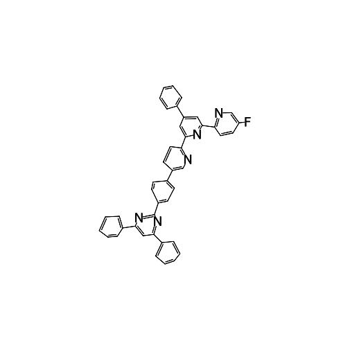 Fc1ccc(-c2cc(-c3ccccc3)cc(-c3ccc(-c4ccc(-c5nc(-c6ccccc6)cc(-c6ccccc6)n5)cc4)cn3)n2)nc1